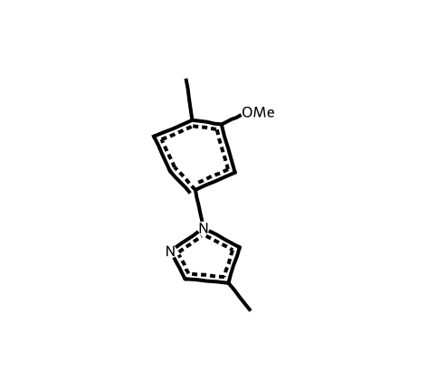 COc1cc(-n2cc(C)cn2)ccc1C